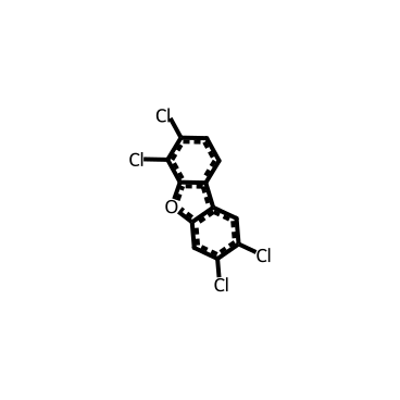 Clc1cc2oc3c(Cl)c(Cl)ccc3c2cc1Cl